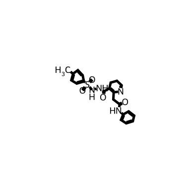 Cc1ccc(S(=O)(=O)NNC(=O)C2=C(CC(=O)Nc3ccccc3)N=CCC2)cc1